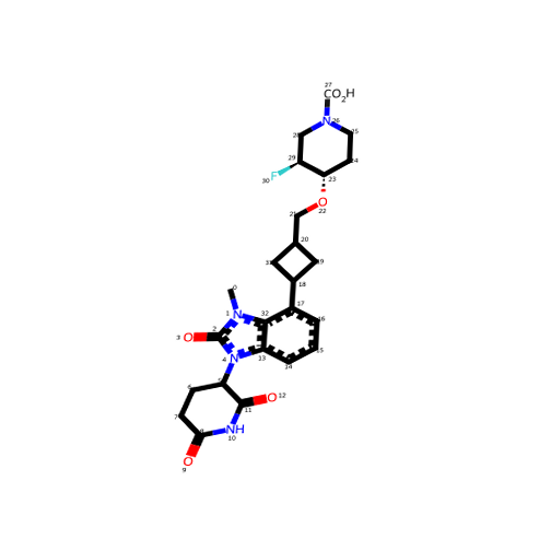 Cn1c(=O)n(C2CCC(=O)NC2=O)c2cccc(C3CC(CO[C@H]4CCN(C(=O)O)C[C@@H]4F)C3)c21